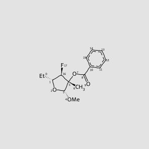 CC[C@H]1O[C@@H](OC)[C@@](C)(OC(=O)c2ccccc2)[C@@H]1F